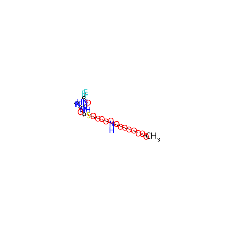 COCCOCCOCCOCCOCCOCCOCCOCCNC(=O)CCOCCOCCOCCOCCSCc1cccc(C(=O)Nc2ccc(N3CCCCC3)cc2-c2cc(C(=O)NCc3cccc(C(F)(F)F)c3)ccn2)c1